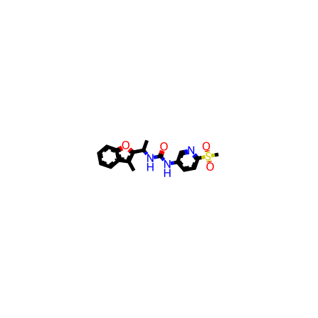 Cc1c(C(C)NC(=O)Nc2ccc(S(C)(=O)=O)nc2)oc2ccccc12